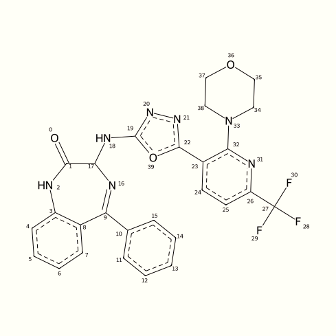 O=C1Nc2ccccc2C(c2ccccc2)=NC1Nc1nnc(-c2ccc(C(F)(F)F)nc2N2CCOCC2)o1